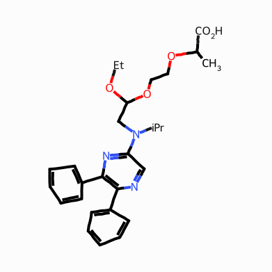 CCOC(CN(c1cnc(-c2ccccc2)c(-c2ccccc2)n1)C(C)C)OCCOC(C)C(=O)O